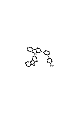 Brc1ccc(-c2cccc(-c3ccc4c5ccccc5n(-c5ccc6sc7ccccc7c6c5)c4c3)c2)cc1